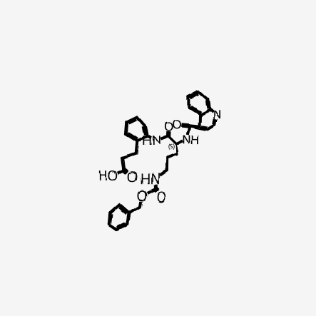 O=C(O)CCc1ccccc1NC(=O)[C@H](CCCNC(=O)OCc1ccccc1)NC(=O)c1ccnc2ccccc12